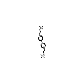 C[N+](C)(C)CCCN1C=CC(c2cc[n+](CCC[N+](C)(C)C)cc2)C=C1